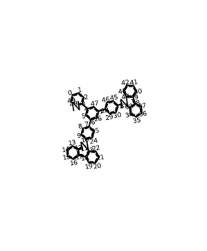 c1ccc(-c2cc(-c3ccc(-n4c5ccccc5c5ccccc54)cc3)cc(-c3ccc(-n4c5ccccc5c5ccccc54)cc3)c2)nc1